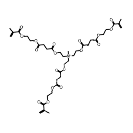 C=C(C)C(=O)OCCOC(=O)CCC(=O)OCC[N+](C)(CCOC(=O)CCC(=O)OCCOC(=O)C(=C)C)CCOC(=O)CCC(=O)OCCOC(=O)C(=C)C